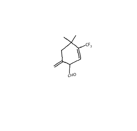 C=C1CC(C)(C)C(C(F)(F)F)=CC1C=O